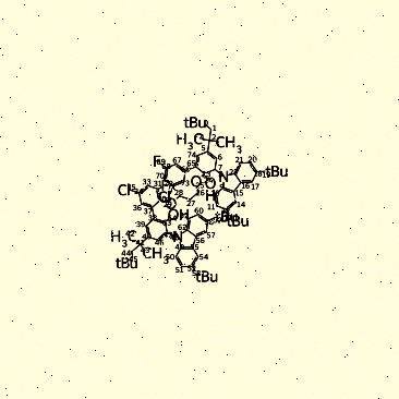 CC(C)(C)CC(C)(C)C1=CC(n2c3ccc(C(C)(C)C)cc3c3cc(C(C)(C)C)ccc32)C(O)(OCCCOc2c(F)cc(Cl)cc2-c2cc(C(C)(C)CC(C)(C)C)cc(-n3c4ccc(C(C)(C)C)cc4c4cc(C(C)(C)C)ccc43)c2O)C(c2cc(F)cc(Cl)c2)=C1